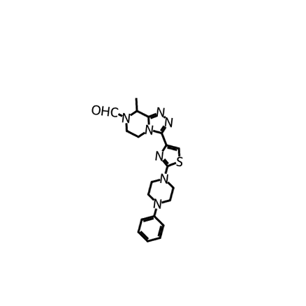 CC1c2nnc(-c3csc(N4CCN(c5ccccc5)CC4)n3)n2CCN1C=O